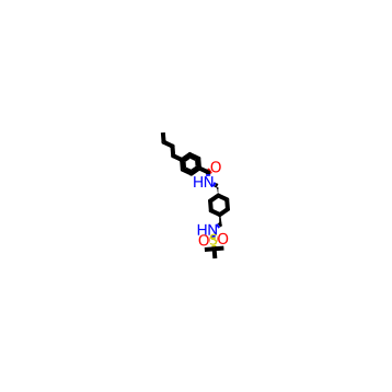 CCCCc1ccc(C(=O)NC[C@H]2CC[C@H](CNS(=O)(=O)C(C)(C)C)CC2)cc1